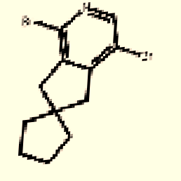 Brc1cnc(Br)c2c1CC1(CCCC1)C2